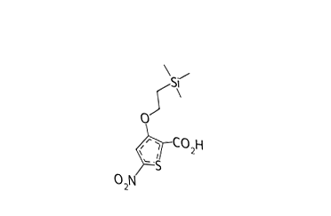 C[Si](C)(C)CCOc1cc([N+](=O)[O-])sc1C(=O)O